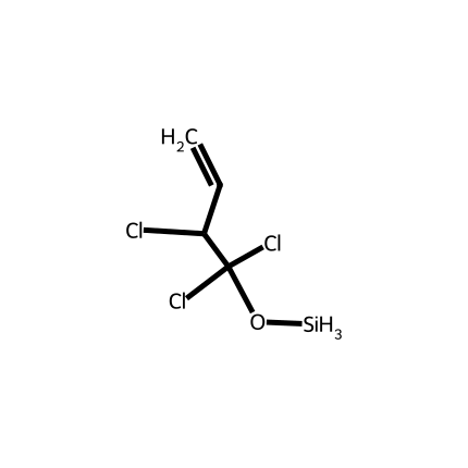 C=CC(Cl)C(Cl)(Cl)O[SiH3]